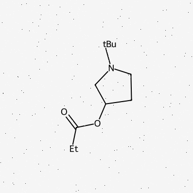 CCC(=O)OC1CCN(C(C)(C)C)C1